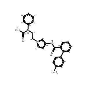 Cc1ccc(-c2ccccc2C(=O)Nc2cnn(CCN(C(=O)O)c3ccccc3)c2)cc1